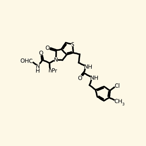 CCCC(C(=O)NC=O)N1Cc2c(csc2CCNC(=O)NCc2ccc(C)c(Cl)c2)C1=O